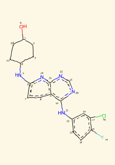 OC1CCC(Nc2ccc3c(Nc4ccc(F)c(Cl)c4)ncnc3n2)CC1